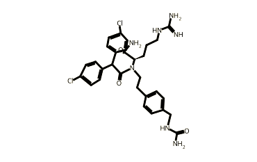 N=C(N)NCCC[C@H](C(N)=O)N(CCc1ccc(CNC(N)=O)cc1)C(=O)C(c1ccc(Cl)cc1)c1ccc(Cl)cc1